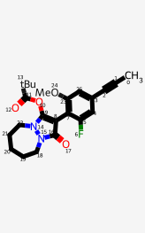 CC#Cc1cc(F)c(-c2c(OC(=O)C(C)(C)C)n3n(c2=O)CCCCC3)c(OC)c1